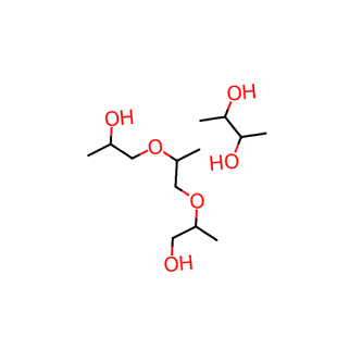 CC(O)C(C)O.CC(O)COC(C)COC(C)CO